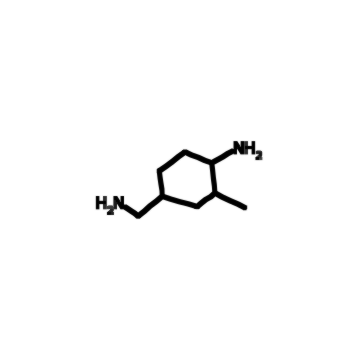 CC1CC(CN)CCC1N